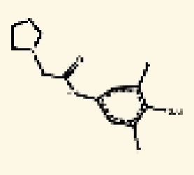 CC(C)(C)c1c(F)cc(NC(=O)CN2CCCC2)cc1F